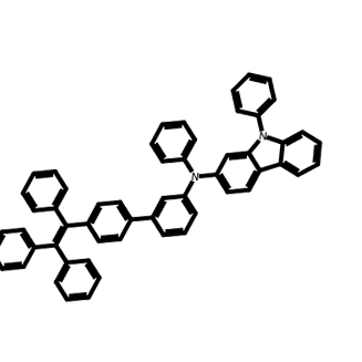 c1ccc(C(=C(c2ccccc2)c2ccc(-c3cccc(N(c4ccccc4)c4ccc5c6ccccc6n(-c6ccccc6)c5c4)c3)cc2)c2ccccc2)cc1